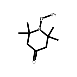 CC(C)ON1C(C)(C)CC(=O)CC1(C)C